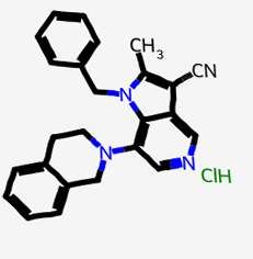 Cc1c(C#N)c2cncc(N3CCc4ccccc4C3)c2n1Cc1ccccc1.Cl